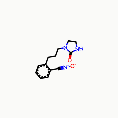 O=C1NCCN1CCCc1ccccc1C#[N+][O-]